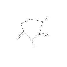 BN1C(=C)CCC(C)C1=O